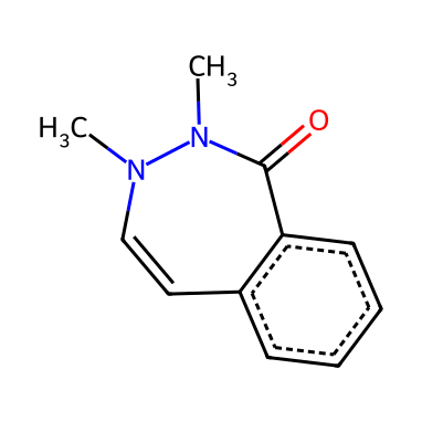 CN1C=Cc2ccccc2C(=O)N1C